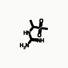 CC(NC(=N)N)S(C)(=O)=O